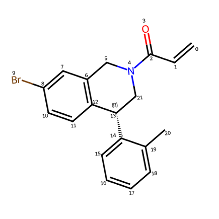 C=CC(=O)N1Cc2cc(Br)ccc2[C@@H](c2ccccc2C)C1